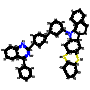 C1=c2ccccc2=C2C(C1)c1cc3c(cc1N2c1cccc(-c2ccc(-c4nc(-c5ccccc5)c5ccccc5n4)cc2)c1)Sc1ccccc1S3